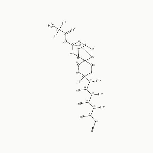 CC(F)(F)C(=O)OC12CC3CC(C1)C1(OCC(F)(C(F)C(F)C(F)C(F)C(F)C(F)CF)CO1)C(C3)C2